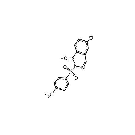 Cc1ccc(S(=O)(=O)N2N=Cc3cc(Cl)ccc3B2O)cc1